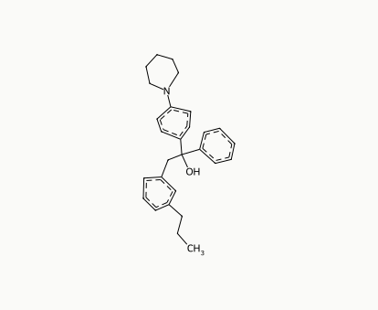 CCCc1cccc(CC(O)(c2ccccc2)c2ccc(N3CCCCC3)cc2)c1